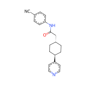 N#Cc1ccc(NC(=O)C[C@H]2CC[C@H](c3ccncc3)CC2)cc1